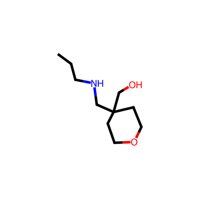 CCCNCC1(CO)CCOCC1